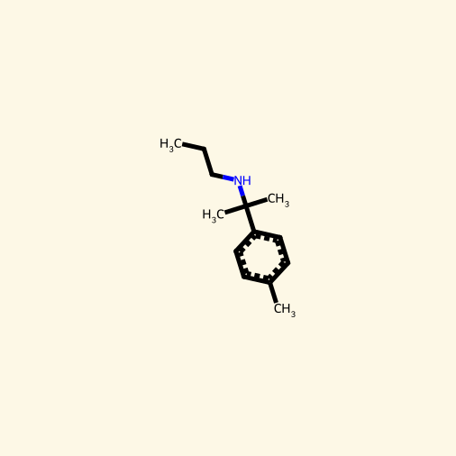 CCCNC(C)(C)c1ccc(C)cc1